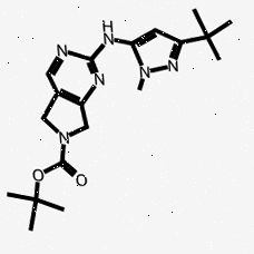 Cn1nc(C(C)(C)C)cc1Nc1ncc2c(n1)CN(C(=O)OC(C)(C)C)C2